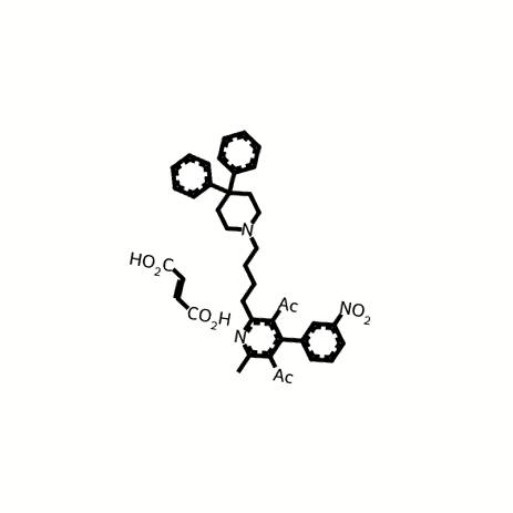 CC(=O)c1c(C)nc(CCCCN2CCC(c3ccccc3)(c3ccccc3)CC2)c(C(C)=O)c1-c1cccc([N+](=O)[O-])c1.O=C(O)C=CC(=O)O